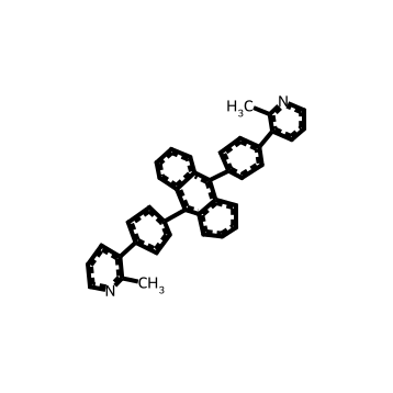 Cc1ncccc1-c1ccc(-c2c3ccccc3c(-c3ccc(-c4cccnc4C)cc3)c3ccccc23)cc1